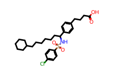 O=C(O)CCCc1ccc(C(CCCCCCC2CCCCC2)NS(=O)(=O)c2ccc(Cl)cc2)cc1